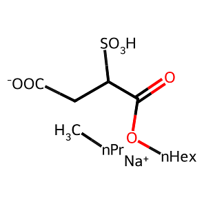 CCCC.CCCCCCOC(=O)C(CC(=O)[O-])S(=O)(=O)O.[Na+]